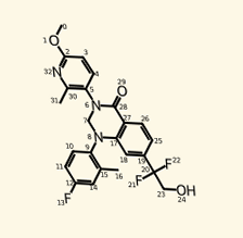 COc1ccc(N2CN(c3ccc(F)cc3C)c3cc(C(F)(F)CO)ccc3C2=O)c(C)n1